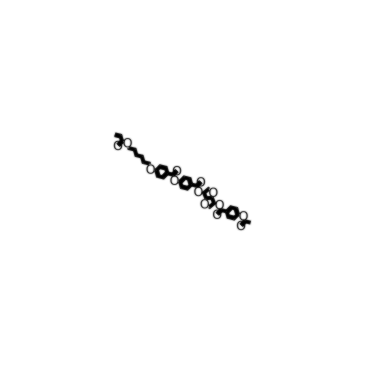 C=CC(=O)OCCCCCCOc1ccc(C(=O)Oc2ccc(C(=O)O[C@H]3COC4C3OC[C@H]4OC(=O)c3ccc(OC(C)=O)cc3)cc2)cc1